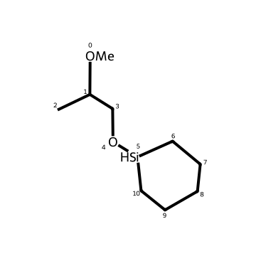 COC(C)CO[SiH]1CCCCC1